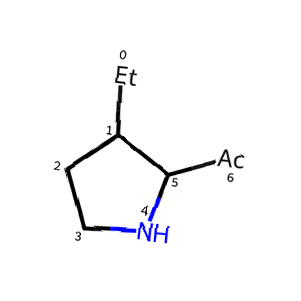 CCC1CCNC1C(C)=O